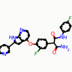 NC(=O)C(C(=O)Nc1ccc(F)cc1)c1ccc(Oc2ccnc3[nH]c(-c4cccnc4)cc23)c(F)c1